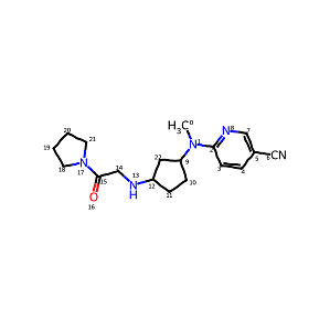 CN(c1ccc(C#N)cn1)C1CCC(NCC(=O)N2CCCC2)C1